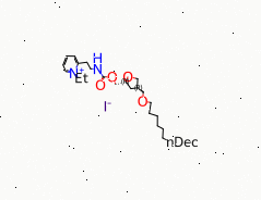 CCCCCCCCCCCCCCCCOC[C@@H]1CO[C@@H](COC(=O)NCCc2cccc[n+]2CC)C1.[I-]